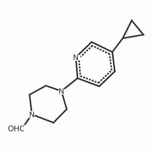 O=CN1CCN(c2ccc(C3CC3)cn2)CC1